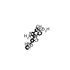 Cn1cc(-c2cnc(N)c3c(-c4ccc(C(=O)Nc5ccccn5)cc4Cl)nn([C@@H]4CCCN(C(=O)O)C4)c23)cn1